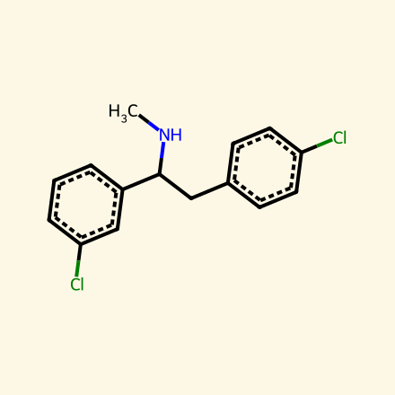 CNC(Cc1ccc(Cl)cc1)c1cccc(Cl)c1